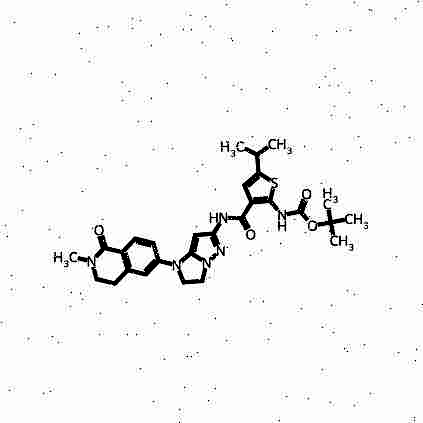 CC(C)c1cc(C(=O)Nc2cc3n(n2)CCN3c2ccc3c(c2)CCN(C)C3=O)c(NC(=O)OC(C)(C)C)s1